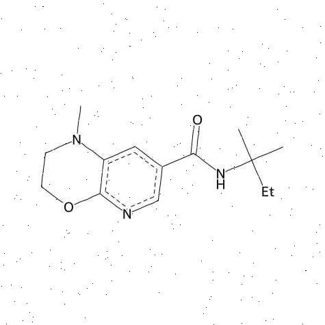 CCC(C)(C)NC(=O)c1cnc2c(c1)N(C)CCO2